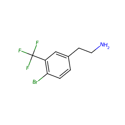 NCCc1ccc(Br)c(C(F)(F)F)c1